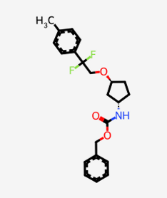 Cc1ccc(C(F)(F)CO[C@H]2CC[C@H](NC(=O)OCc3ccccc3)C2)cc1